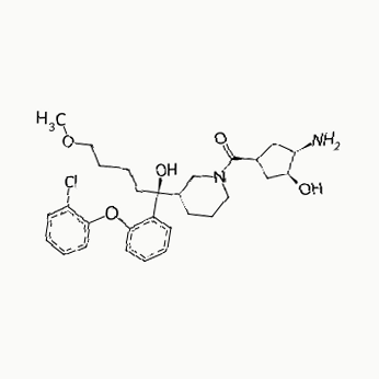 COCCCC[C@@](O)(c1ccccc1Oc1ccccc1Cl)C1CCCN(C(=O)[C@H]2C[C@@H](N)[C@@H](O)C2)C1